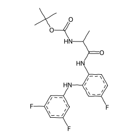 CC(NC(=O)OC(C)(C)C)C(=O)Nc1ccc(F)cc1Nc1cc(F)cc(F)c1